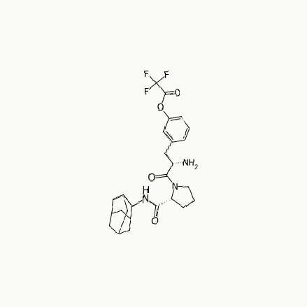 N[C@@H](Cc1cccc(OC(=O)C(F)(F)F)c1)C(=O)N1CCC[C@@H]1C(=O)NC1C2CC3CC(C2)CC1C3